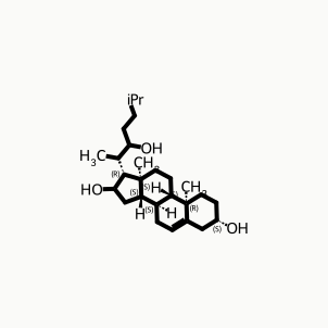 CC(C)CCC(O)C(C)[C@H]1C(O)C[C@H]2[C@@H]3CC=C4C[C@@H](O)CC[C@]4(C)[C@H]3CC[C@]12C